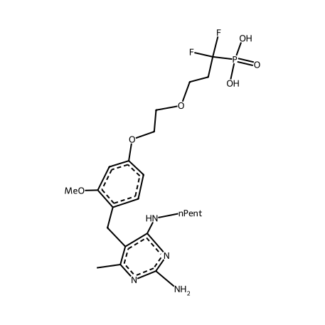 CCCCCNc1nc(N)nc(C)c1Cc1ccc(OCCOCCC(F)(F)P(=O)(O)O)cc1OC